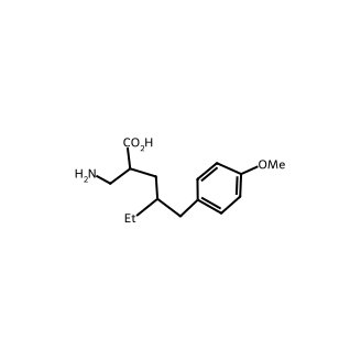 CCC(Cc1ccc(OC)cc1)CC(CN)C(=O)O